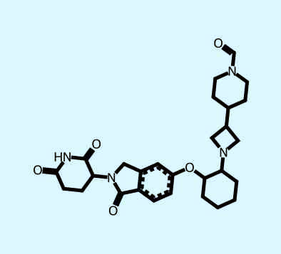 O=CN1CCC(C2CN(C3CCCCC3Oc3ccc4c(c3)CN(C3CCC(=O)NC3=O)C4=O)C2)CC1